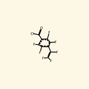 O=C(Cl)c1c(F)c(F)c(C(F)=C(F)F)c(F)c1F